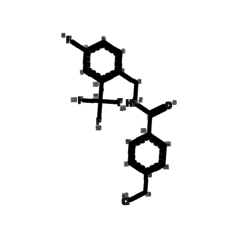 O=C(NCc1ccc(F)cc1C(F)(F)F)c1ccc(CCl)cc1